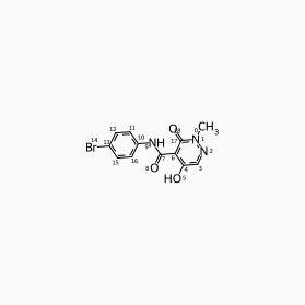 Cn1ncc(O)c(C(=O)Nc2ccc(Br)cc2)c1=O